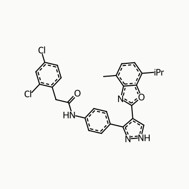 Cc1ccc(C(C)C)c2oc(-c3c[nH]nc3-c3ccc(NC(=O)Cc4ccc(Cl)cc4Cl)cc3)nc12